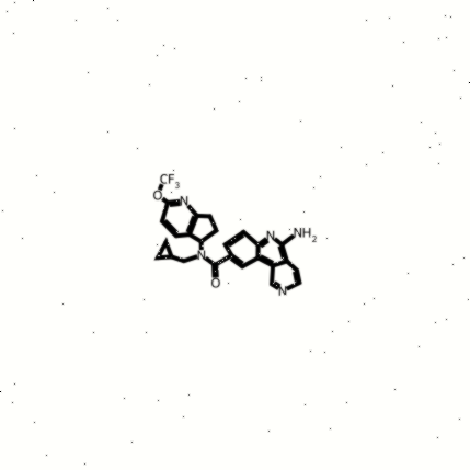 Nc1nc2ccc(C(=O)N(CC3CC3)C3CCc4nc(OC(F)(F)F)ccc43)cc2c2cnccc12